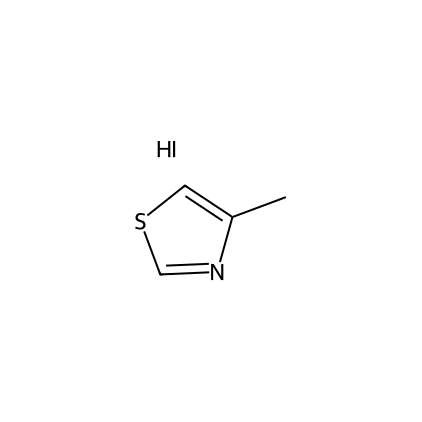 Cc1cscn1.I